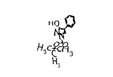 CC(C)(C)OC(=O)n1cc(-c2ccccc2)c(O)n1